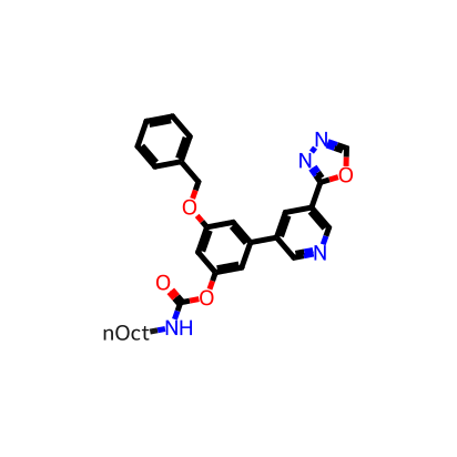 CCCCCCCCNC(=O)Oc1cc(OCc2ccccc2)cc(-c2cncc(-c3nnco3)c2)c1